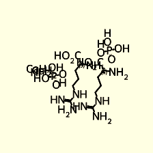 F.N=C(N)NCCC[C@H](N)C(=O)O.N=C(N)NCCC[C@H](N)C(=O)O.O=P(O)(O)O.O=P(O)(O)O.[CaH2].[CaH2]